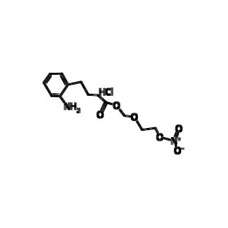 Cl.Nc1ccccc1CCCC(=O)OCOCCO[N+](=O)[O-]